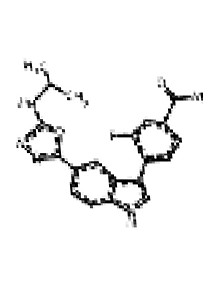 CC(C)Nc1nnc(-c2ccc3[nH]cc(-c4ccc(C(N)=O)cc4F)c3c2)o1